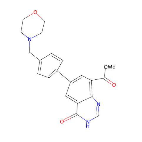 COC(=O)c1cc(-c2ccc(CN3CCOCC3)cc2)cc2c(=O)[nH]cnc12